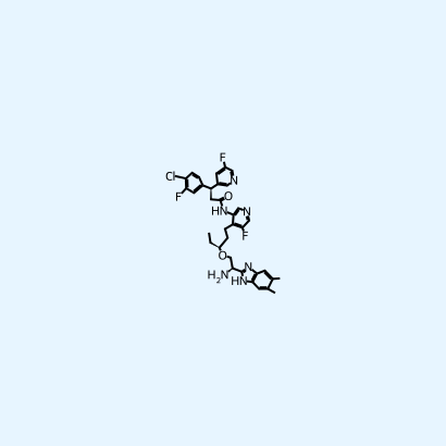 CC[C@@H](CCc1c(F)cncc1NC(=O)C[C@H](c1cncc(F)c1)c1ccc(Cl)c(F)c1)OC[C@H](N)c1nc2cc(C)c(C)cc2[nH]1